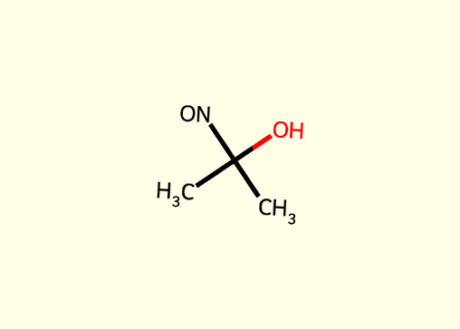 CC(C)(O)N=O